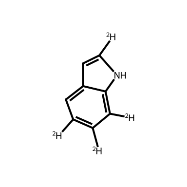 [2H]c1cc2cc([2H])c([2H])c([2H])c2[nH]1